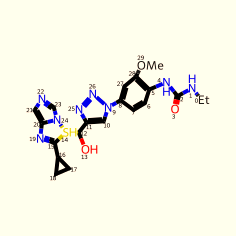 CCNC(=O)Nc1ccc(-n2cc(C(O)[SH]3C(C4CC4)=Nc4cncn43)nn2)cc1OC